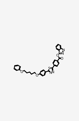 O=C(On1nnc2ccccc21)c1ccc(-c2nnc(-c3ccc(OCCCCCOc4ccccc4)cc3)s2)cc1